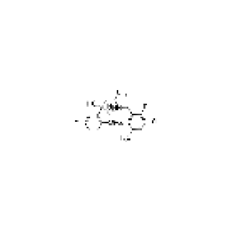 COc1ccc(F)cc1C(C)(C)CC(NCc1cc(C(F)(F)F)cc(Cl)c1F)C(F)(F)F